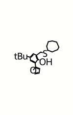 CC(C)(C)c1cc(CSC2CCCCCCC2)c(O)c(-c2ccco2)c1